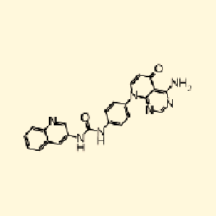 Nc1ncnc2c1c(=O)ccn2-c1ccc(NC(=O)Nc2cnc3ccccc3c2)cc1